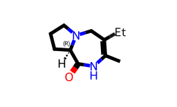 CCC1=C(C)NC(=O)[C@H]2CCCN2C1